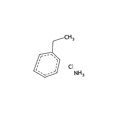 CCc1ccccc1.N.[C]